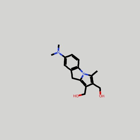 Cc1c(CO)c(CO)c2n1-c1ccc(N(C)C)cc1C2